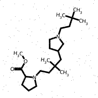 COC(=O)C1CCCN1CCC(C)(C)CC1CCN(CCC(C)(C)C)C1